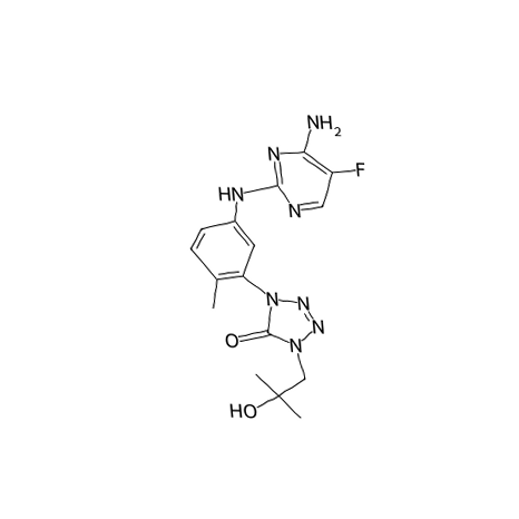 Cc1ccc(Nc2ncc(F)c(N)n2)cc1-n1nnn(CC(C)(C)O)c1=O